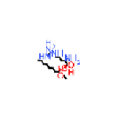 CCCCCCCC(=O)OCC.N=C(N)NCCCC(N)C(=O)O